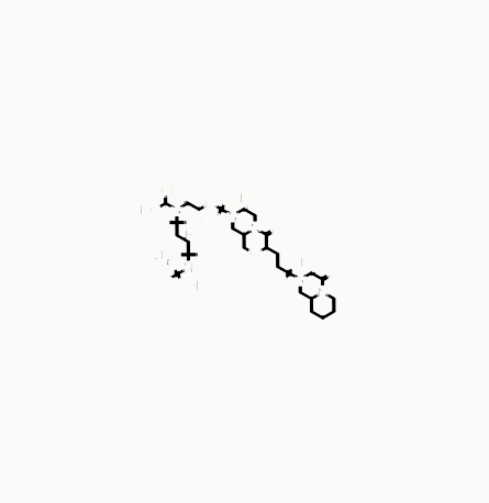 CC(C)N(CCOC(C)(C)N1CCN2C(=O)C(CCC(C)(C)N3CC(=O)N4CCCCC4C3)OCC2C1)C(C)(C)CCC(C)(C)NC(C)(C)C